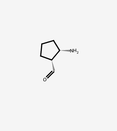 N[C@H]1CCC[C@H]1C=O